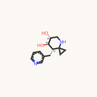 O[C@H]1[C@H](O)CNC2(CC2)[C@@H]1Cc1cccnc1